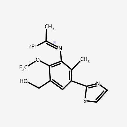 CCC/C(C)=N\c1c(C)c(-c2nccs2)cc(CO)c1OC(F)(F)F